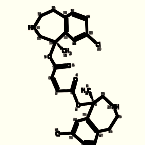 C[C@]1(OC(=O)/C=C\C(=O)O[C@@]2(C)CNCCc3ccc(Cl)cc32)CNCCc2ccc(Cl)cc21